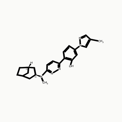 Cc1cnn(-c2ccc(-c3ccc(N(C)[C@H]4CC5CC[C@@H](C5)C4)nn3)c(O)c2)c1